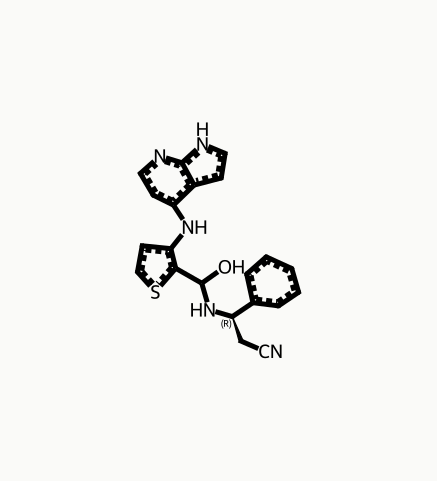 N#CC[C@@H](NC(O)c1sccc1Nc1ccnc2[nH]ccc12)c1ccccc1